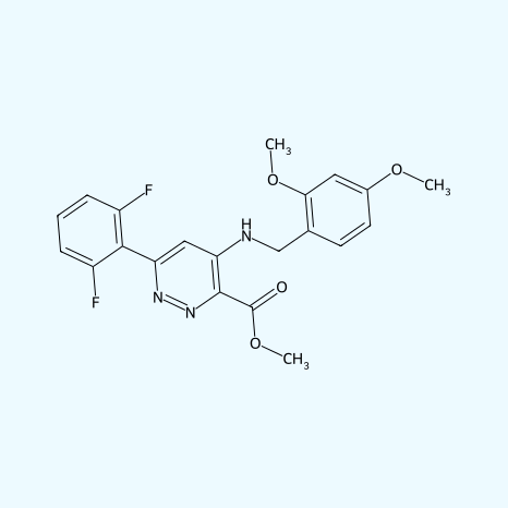 COC(=O)c1nnc(-c2c(F)cccc2F)cc1NCc1ccc(OC)cc1OC